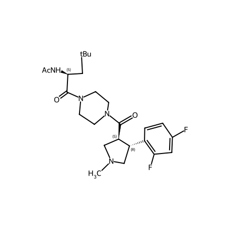 CC(=O)N[C@@H](CC(C)(C)C)C(=O)N1CCN(C(=O)[C@@H]2CN(C)C[C@H]2c2ccc(F)cc2F)CC1